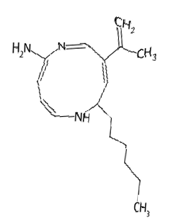 C=C(C)C1=C\C(CCCCCC)N\C=C/C=C(N)\N=C/1